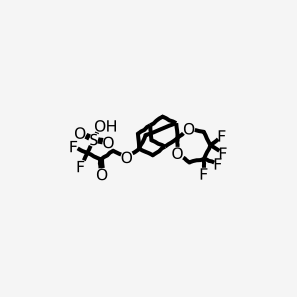 O=C(COC12CC3CC(C1)C1(OCC(F)(F)C(F)(F)CO1)C(C3)C2)C(F)(F)S(=O)(=O)O